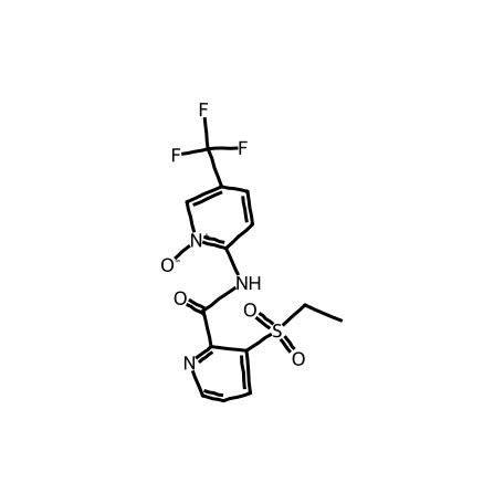 CCS(=O)(=O)c1cccnc1C(=O)Nc1ccc(C(F)(F)F)c[n+]1[O-]